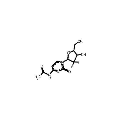 CC(=O)Nc1ccn(C2OC(CO)C(O)C2(F)F)c(=O)n1